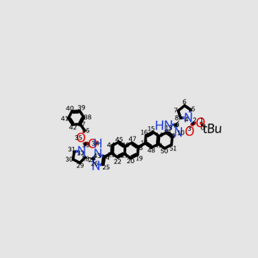 CC(C)(C)OC(=O)N1CCC[C@H]1c1nc2c([nH]1)-c1ccc(-c3ccc4cc(-c5cnc([C@@H]6CCCN6C(=O)OCc6ccccc6)[nH]5)ccc4c3)cc1CC2